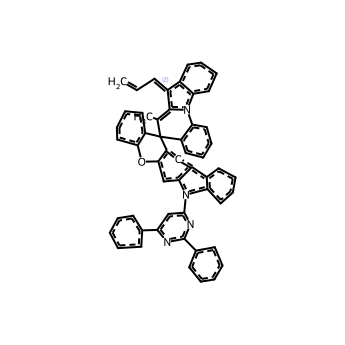 C=C/C=c1\c2n(c3ccccc13)-c1ccccc1C1(C=2C)c2ccccc2Oc2cc3c(cc21)c1ccccc1n3-c1cc(-c2ccccc2)nc(-c2ccccc2)n1